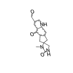 CN1C(=O)NCC12Cc1cc3[nH]cc(C=O)cc-3c(=O)c1C2